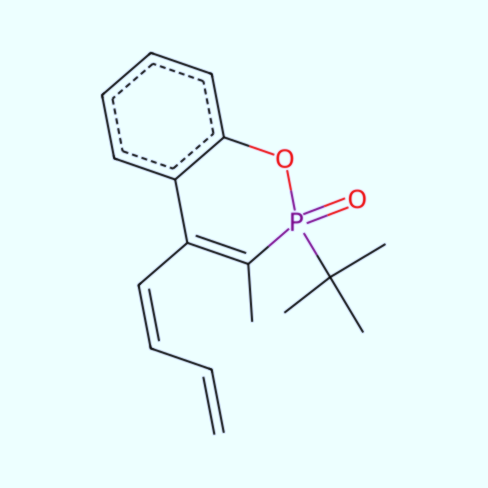 C=C/C=C\C1=C(C)P(=O)(C(C)(C)C)Oc2ccccc21